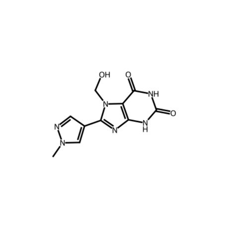 Cn1cc(-c2nc3[nH]c(=O)[nH]c(=O)c3n2CO)cn1